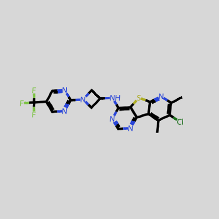 Cc1nc2sc3c(NC4CN(c5ncc(C(F)(F)F)cn5)C4)ncnc3c2c(C)c1Cl